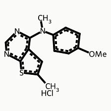 COc1ccc(N(C)c2ncnc3sc(C)cc23)cc1.Cl